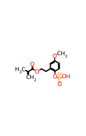 C=C(C)C(=O)OCCc1cc(OC)ccc1O[PH](=O)O